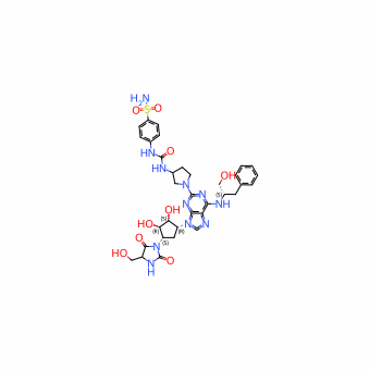 NS(=O)(=O)c1ccc(NC(=O)NC2CCN(c3nc(N[C@H](CO)Cc4ccccc4)c4ncn([C@@H]5C[C@H](N6C(=O)NC(CO)C6=O)[C@@H](O)[C@H]5O)c4n3)C2)cc1